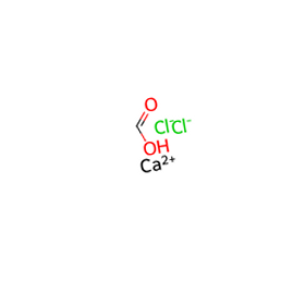 O=CO.[Ca+2].[Cl-].[Cl-]